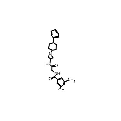 Cc1cc(O)cc(C(=O)NCC(=O)NC2CN(C3CCC(c4ccccc4)CC3)C2)c1